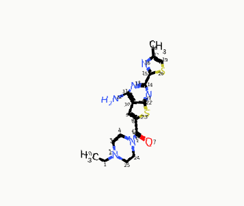 CCN1CCN(C(=O)c2cc3c(N)nc(-c4nc(C)cs4)nc3s2)CC1